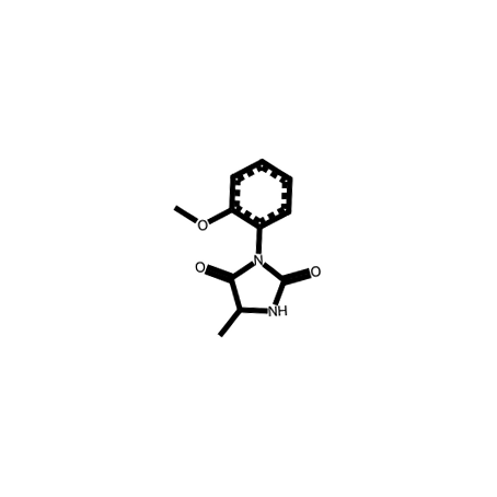 COc1ccccc1N1C(=O)NC(C)C1=O